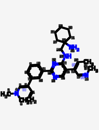 C=C/C(=C\N(C)C)c1cccc(-c2ncc(C(/C=N\C)=C/C)c(NCC3(N)CCCCC3)n2)c1